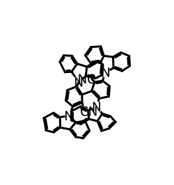 N#Cc1c(-n2c3ccccc3c3ccccc32)ccc(-n2c3ccccc3c3ccccc32)c1-c1c(-n2c3ccccc3c3ccccc32)ccc(-n2c3ccccc3c3ccccc32)c1C#N